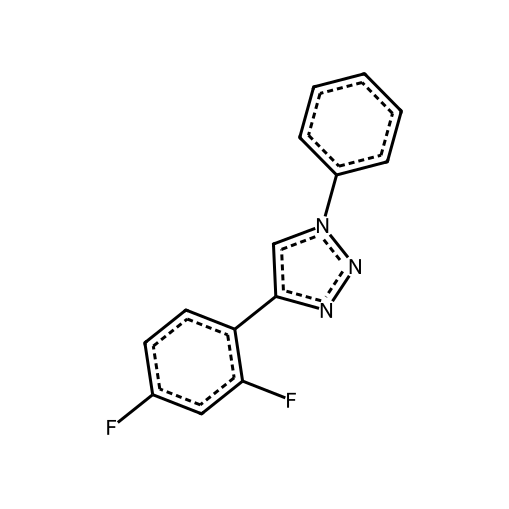 Fc1ccc(-c2cn(-c3ccccc3)nn2)c(F)c1